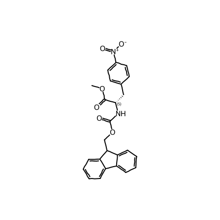 COC(=O)[C@H](Cc1ccc([N+](=O)[O-])cc1)NC(=O)OCC1c2ccccc2-c2ccccc21